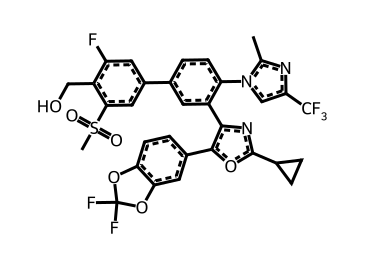 Cc1nc(C(F)(F)F)cn1-c1ccc(-c2cc(F)c(CO)c(S(C)(=O)=O)c2)cc1-c1nc(C2CC2)oc1-c1ccc2c(c1)OC(F)(F)O2